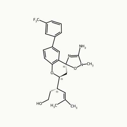 CC(C)=C[C@H](CCO)[C@@H]1C[C@@]2(N=C(N)N(C)O2)c2cc(-c3cccc(C(F)(F)F)c3)ccc2O1